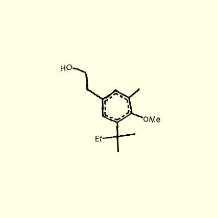 CCC(C)(C)c1cc(CCO)cc(C)c1OC